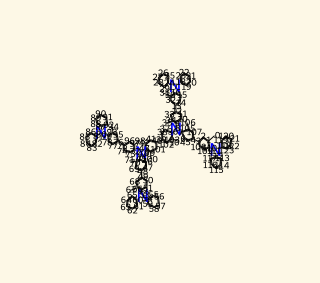 Cc1cc(-c2ccc(N(c3ccc(-c4ccc(N(c5ccccc5)c5ccccc5)c(C)c4)cc3C)c3ccc(-c4ccc(N(c5ccc(-c6ccc(N(c7ccccc7)c7ccccc7)c(C)c6)cc5C)c5ccc(-c6ccc(N(c7ccccc7)c7ccccc7)c(C)c6)cc5C)c(C)c4)cc3C)c(C)c2)ccc1N(c1ccccc1)c1ccccc1